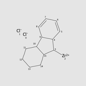 [Cl-].[Cl-].[Zr+2][CH]1C2C=CC=CC2C2CCCCC12